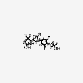 CC1(O)CN(c2c(F)cc(N3C[C@@H](C(NC(=O)O)C(C)(C)C)OC3=O)cc2F)C1